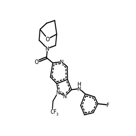 O=C(c1cc2c(cn1)c(Nc1cccc(F)c1)nn2CC(F)(F)F)N1CC2CCC(C1)O2